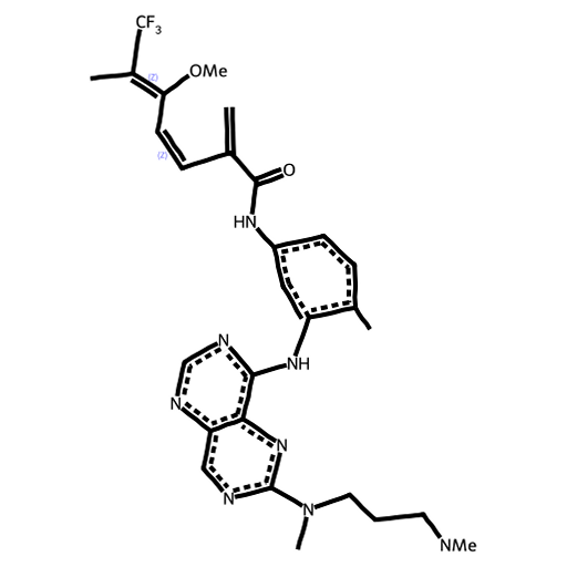 C=C(/C=C\C(OC)=C(/C)C(F)(F)F)C(=O)Nc1ccc(C)c(Nc2ncnc3cnc(N(C)CCCNC)nc23)c1